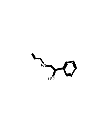 C=CCNCC(O)c1ccccc1